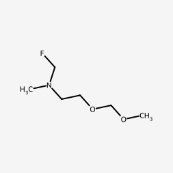 COCOCCN(C)CF